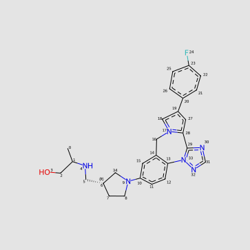 CC(CO)NC[C@H]1CCN(c2ccc3c(c2)Cn2cc(-c4ccc(F)cc4)cc2-c2ncnn2-3)C1